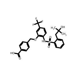 CC(C)(O)Cc1ccccc1S(=O)(=O)Nc1ccc(C(F)(F)F)cc1OCc1ccc(C(=O)O)cc1